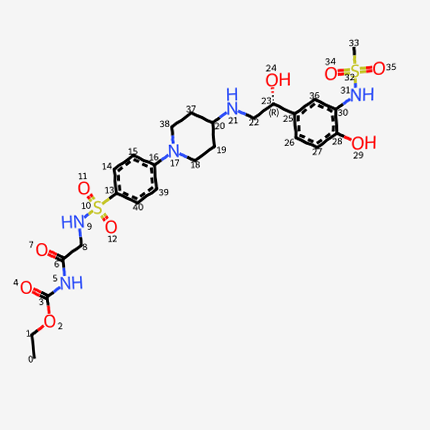 CCOC(=O)NC(=O)CNS(=O)(=O)c1ccc(N2CCC(NC[C@H](O)c3ccc(O)c(NS(C)(=O)=O)c3)CC2)cc1